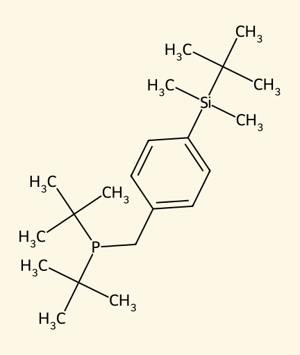 CC(C)(C)P(Cc1ccc([Si](C)(C)C(C)(C)C)cc1)C(C)(C)C